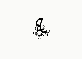 O=C1NC(=O)C(F)(C2CCCCC2)C(=O)N1